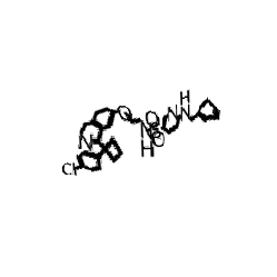 O=S(=O)(NCCOc1ccc2c(c1)C(C1(c3ccc(Cl)cc3)CCC1)=NCC2)c1ccc(NCc2ccccc2)nc1